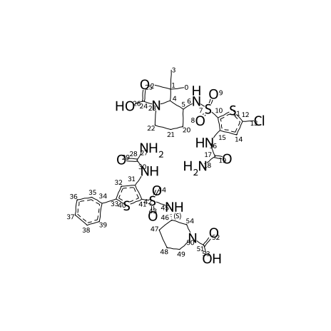 CC(C)(C)C1C(NS(=O)(=O)c2sc(Cl)cc2NC(N)=O)CCCN1C(=O)O.NC(=O)Nc1cc(-c2ccccc2)sc1S(=O)(=O)N[C@H]1CCCN(C(=O)O)C1